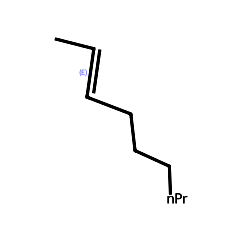 [CH2]CCCCC/C=C/C